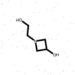 OCCN1CC(O)C1